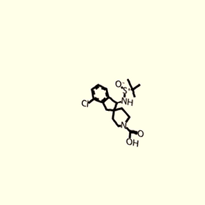 CC(C)(C)[S+]([O-])N[C@@H]1c2cccc(Cl)c2CC12CCN(C(=O)O)CC2